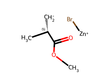 [CH2-][C@@H](C)C(=O)OC.[Zn+][Br]